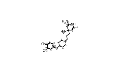 CC1=CC(N)(CCCN2CCC(Oc3ccc(Cl)c(Cl)c3)CC2)N=C(N)N1